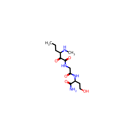 CCCC(NC)C(=O)C(=O)NCC(=O)NC(CCO)C(N)=O